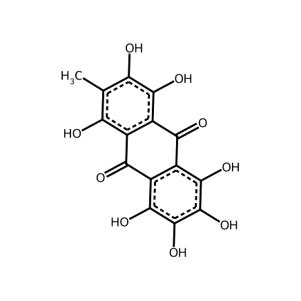 Cc1c(O)c(O)c2c(c1O)C(=O)c1c(O)c(O)c(O)c(O)c1C2=O